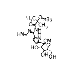 CCCCOC(C)(C)C(=O)N/C(=N/C=N)c1ccc([C@]2(C#N)O[C@H](CO)[C@@H](O)[C@H]2O)[nH]1